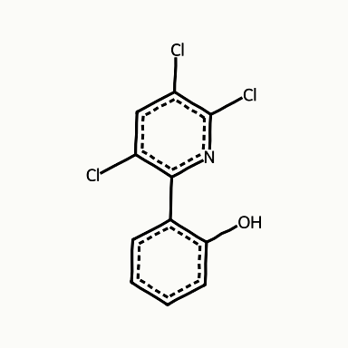 Oc1ccccc1-c1nc(Cl)c(Cl)cc1Cl